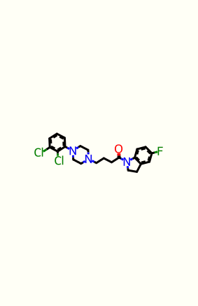 O=C(CCCN1CCN(c2cccc(Cl)c2Cl)CC1)N1CCc2cc(F)ccc21